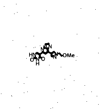 COCCn1cc(-c2cc(-c3c[nH]c(=O)[nH]c3=O)nn3ccnc23)cn1